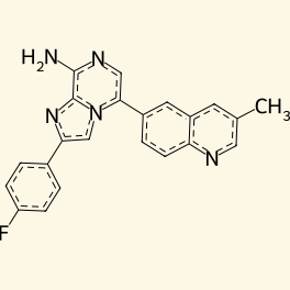 Cc1cnc2ccc(-c3cnc(N)c4nc(-c5ccc(F)cc5)cn34)cc2c1